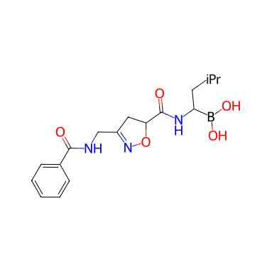 CC(C)CC(NC(=O)C1CC(CNC(=O)c2ccccc2)=NO1)B(O)O